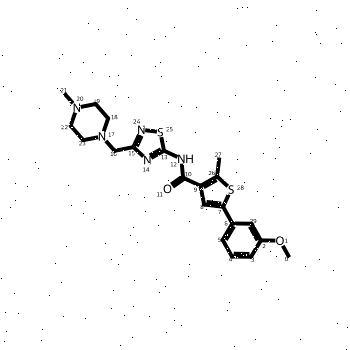 COc1cccc(-c2cc(C(=O)Nc3nc(CN4CCN(C)CC4)ns3)c(C)s2)c1